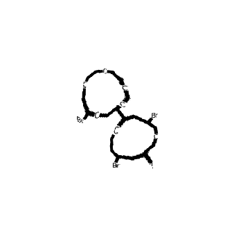 BrC1CCCCCCCCCCC(C2CCCC(Br)CC(I)CCCC(Br)C2)CC1